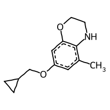 Cc1cc(OCC2CC2)cc2c1NCCO2